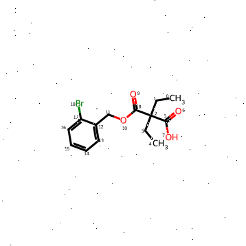 CCC(CC)(C(=O)O)C(=O)OCc1ccccc1Br